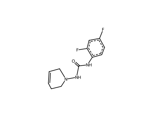 O=C(Nc1ccc(F)cc1F)NN1CC=CCC1